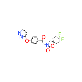 O=C(CN1CC2(CCC(F)(F)CC2)OC1=O)c1ccc(Oc2cccnn2)cc1